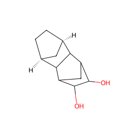 OC1C(O)C2CC1C1C2[C@H]2CC[C@@H]1C2